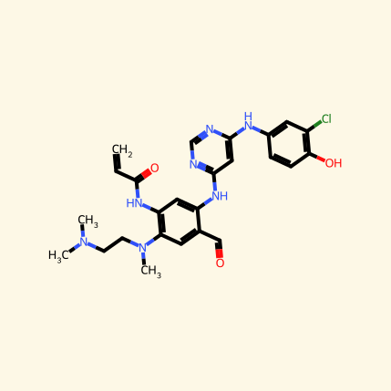 C=CC(=O)Nc1cc(Nc2cc(Nc3ccc(O)c(Cl)c3)ncn2)c(C=O)cc1N(C)CCN(C)C